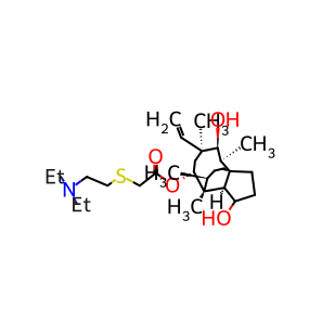 C=C[C@]1(C)C[C@@H](OC(=O)CSCCN(CC)CC)[C@]2(C)[C@H](C)CC[C@]3(CCC(O)[C@H]32)[C@@H](C)[C@@H]1O